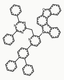 c1ccc(-c2nc(Cc3nc(-c4ccc(-c5ccccc5)c(-c5ccccc5)c4)ccc3-n3c4ccccc4c4c5c(ccc43)oc3ccccc35)nc(-c3ccccc3)n2)cc1